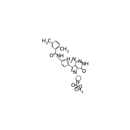 Cc1ccc(C)c(C(=O)NCc2ccc(-c3cn([C@@H]4CCN(S(C)(=O)=O)C4)c4c(=O)[nH]nc(N)c34)cc2)c1